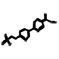 COC(=O)c1cnc(-c2cc[n+](CCS(=O)(=O)[O-])nc2)nc1